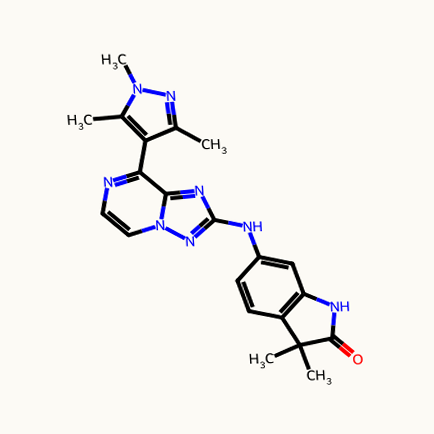 Cc1nn(C)c(C)c1-c1nccn2nc(Nc3ccc4c(c3)NC(=O)C4(C)C)nc12